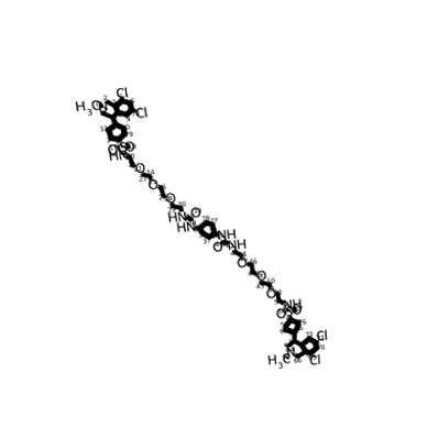 CN1Cc2c(Cl)cc(Cl)cc2C(c2ccc(S(=O)(=O)NCCOCCOCCOCCNC(=O)Nc3ccc(NC(=O)NCCOCCOCCOCCNS(=O)(=O)c4ccc(C5CN(C)Cc6c(Cl)cc(Cl)cc65)cc4)cc3)cc2)C1